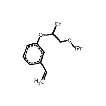 C=Cc1cccc(OC(CC)COC(C)C)c1